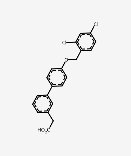 O=C(O)Cc1cccc(-c2ccc(OCc3ccc(Cl)cc3Cl)cc2)c1